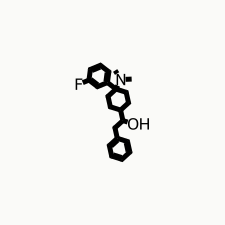 CN(C)C1(c2cccc(F)c2)CCC(C(O)Cc2ccccc2)CC1